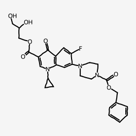 O=C(OCC(O)CO)c1cn(C2CC2)c2cc(N3CCN(C(=O)OCc4ccccc4)CC3)c(F)cc2c1=O